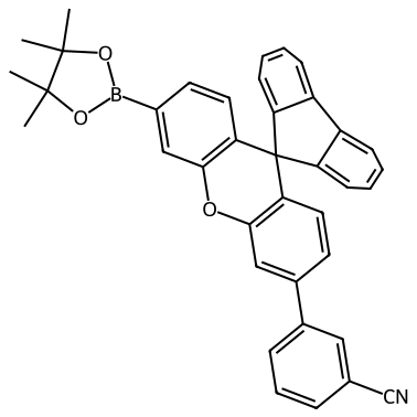 CC1(C)OB(c2ccc3c(c2)Oc2cc(-c4cccc(C#N)c4)ccc2C32c3ccccc3-c3ccccc32)OC1(C)C